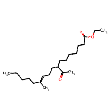 CCCCCC(C)=CCCC(CCCCCCC(=O)OCC)C(C)=O